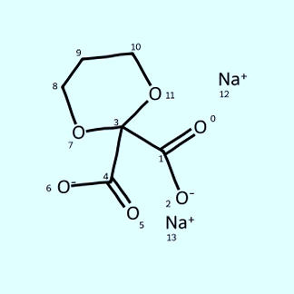 O=C([O-])C1(C(=O)[O-])OCCCO1.[Na+].[Na+]